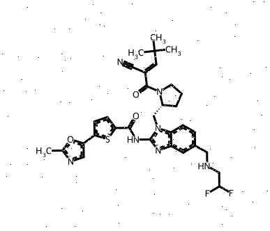 Cc1ncc(-c2ccc(C(=O)Nc3nc4cc(CNCC(F)F)ccc4n3C[C@H]3CCCN3C(=O)/C(C#N)=C/C(C)(C)C)s2)o1